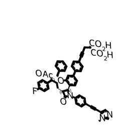 CC(=O)O[C@@H](CC[C@H]1C(=O)N(c2ccc(C#Cc3cncn3C)cc2)[C@@H]1c1ccc(-c2ccc(C#CCC(C(=O)O)C(=O)O)cc2)cc1OCc1ccccc1)c1ccc(F)cc1